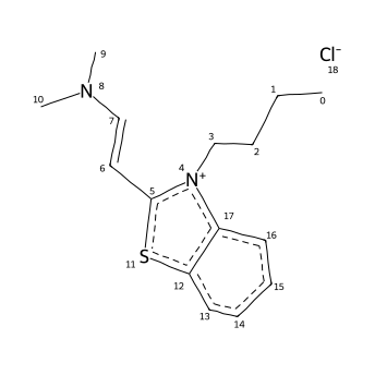 CCCC[n+]1c(/C=C/N(C)C)sc2ccccc21.[Cl-]